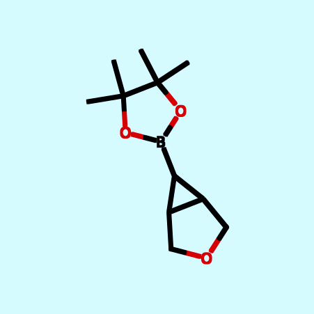 CC1(C)OB(C2C3COCC32)OC1(C)C